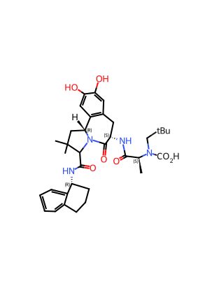 C[C@@H](C(=O)N[C@H]1Cc2cc(O)c(O)cc2[C@H]2CC(C)(C)C(C(=O)N[C@@H]3CCCc4ccccc43)N2C1=O)N(CC(C)(C)C)C(=O)O